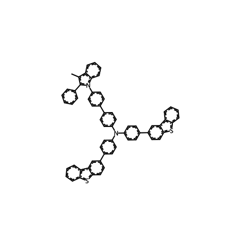 Cc1c(-c2ccccc2)n(-c2ccc(-c3ccc(N(c4ccc(-c5ccc6sc7ccccc7c6c5)cc4)c4ccc(-c5ccc6sc7ccccc7c6c5)cc4)cc3)cc2)c2ccccc12